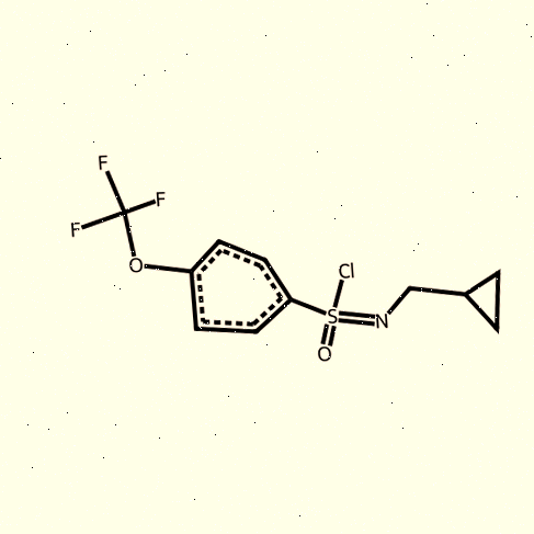 O=S(Cl)(=NCC1CC1)c1ccc(OC(F)(F)F)cc1